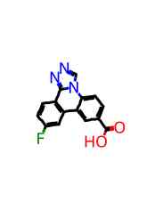 O=C(O)c1ccc2c(c1)c1cc(F)ccc1c1nncn21